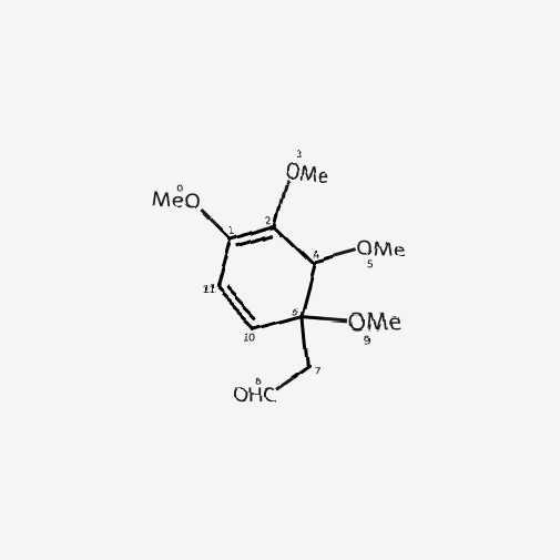 COC1=C(OC)C(OC)C(CC=O)(OC)C=C1